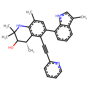 Cc1cc(-c2cccc3c(C)c[nH]c23)c(C#Cc2ccccn2)c2c1NC(C)(C)C(O)[C@H]2C